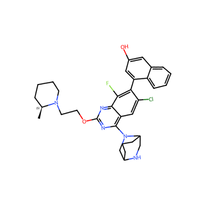 C[C@H]1CCCCN1CCOc1nc(N2CC3CCCC2CN3)c2cc(Cl)c(-c3cc(O)cc4ccccc34)c(F)c2n1